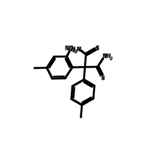 Cc1ccc(C(C(N)=S)(C(N)=S)c2ccc(C)cc2[N+](=O)[O-])cc1